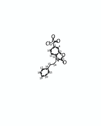 O=c1oc2cc(S(=O)(=O)Cl)ccc2n1CCc1ccccc1